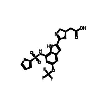 O=C(O)CC1CN=C(c2cc3cc(OC(F)(F)F)cc(NS(=O)(=O)c4cccs4)c3[nH]2)S1